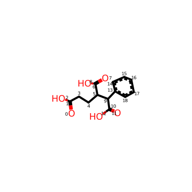 O=C(O)CCC(C(=O)O)C(C(=O)O)c1ccccc1